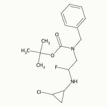 CC(C)(C)OC(=O)N(Cc1ccccc1)CC(F)NC1CC1Cl